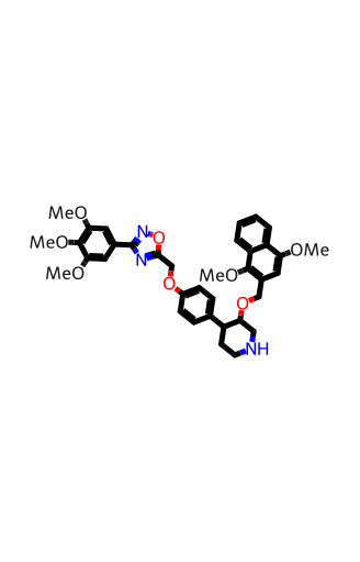 COc1cc(-c2noc(COc3ccc(C4CCNCC4OCc4cc(OC)c5ccccc5c4OC)cc3)n2)cc(OC)c1OC